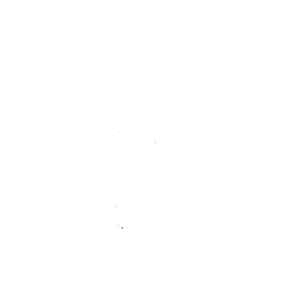 O=C1C2CCCCC2C(=O)N1c1ccc2cn[nH]c2c1